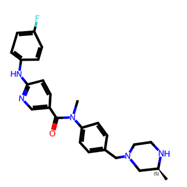 C[C@H]1CN(Cc2ccc(N(C)C(=O)c3ccc(Nc4ccc(F)cc4)nc3)cc2)CCN1